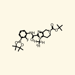 [2H]C([2H])([2H])n1c(C(=O)Nc2cccc(B3OC(C)(C)C(C)(C)O3)c2F)nc2c1CCN(C(=O)OC(C)(C)C)C2